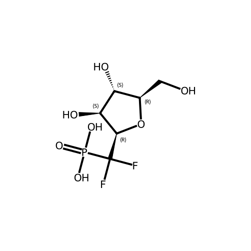 O=P(O)(O)C(F)(F)[C@@H]1O[C@H](CO)[C@@H](O)[C@@H]1O